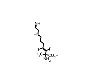 CC(N)(C(=O)O)C(F)=C(F)CCCNCC=N